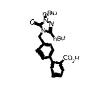 CCCCc1nn(CCCC)c(=O)n1Cc1ccc(-c2ccccc2C(=O)O)cc1